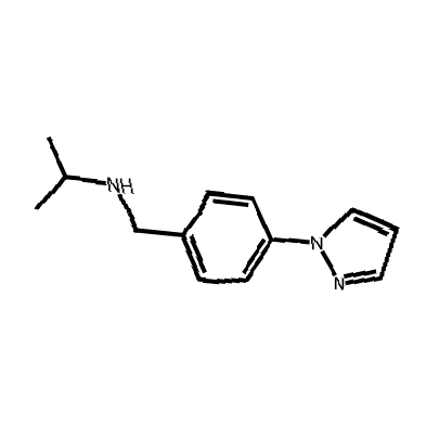 CC(C)NCc1ccc(-n2cccn2)cc1